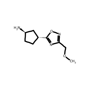 COCc1noc([C@@H]2CC[C@@H](N)C2)n1